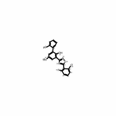 CC(C)c1ccccc1-c1cc(C(C)(C)C)cc(-c2noc(-c3c(F)cccc3Cl)n2)c1O